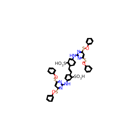 O=S(=O)(O)c1cc(Nc2nc(SOc3ccccc3)cc(SOc3ccccc3)n2)ccc1C=Cc1ccc(Nc2nc(SOc3ccccc3)cc(SOc3ccccc3)n2)cc1S(=O)(=O)O